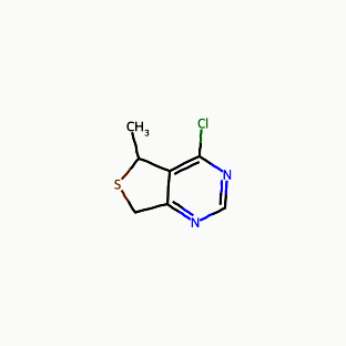 CC1SCc2ncnc(Cl)c21